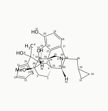 CO[C@]12CC[C@@]3(C[C@@H]1C(C)(O)c1cccs1)[C@H]1Cc4ccc(O)c5c4[C@@]3(CCN1CC1CC1)[C@H]2O5